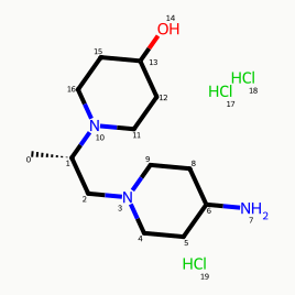 C[C@@H](CN1CCC(N)CC1)N1CCC(O)CC1.Cl.Cl.Cl